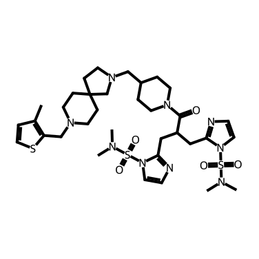 Cc1ccsc1CN1CCC2(CC1)CCN(CC1CCN(C(=O)C(Cc3nccn3S(=O)(=O)N(C)C)Cc3nccn3S(=O)(=O)N(C)C)CC1)C2